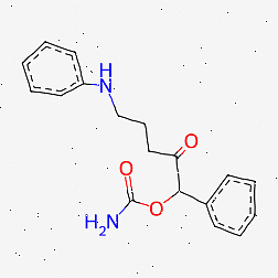 NC(=O)OC(C(=O)CCCNc1ccccc1)c1ccccc1